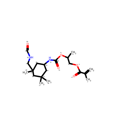 C=C(C)C(=O)OCC(C)OC(=O)NC1CC(C)(C)CC(C)(CNC=O)C1